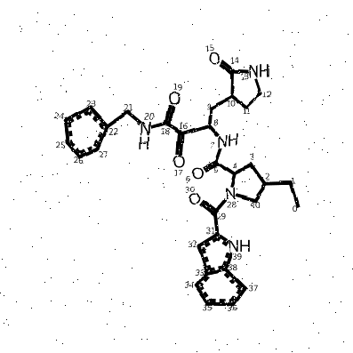 CCC1CC(C(=O)NC(CC2CCNC2=O)C(=O)C(=O)NCc2ccccc2)N(C(=O)c2cc3ccccc3[nH]2)C1